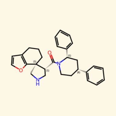 O=C([C@@H]1CNC[C@]12CCCc1ccoc12)N1CC[C@@H](c2ccccc2)C[C@H]1c1ccccc1